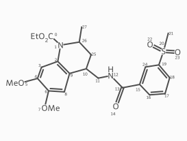 CCOC(=O)N1c2cc(OC)c(OC)cc2C(CNC(=O)c2cccc(S(C)(=O)=O)c2)CC1C